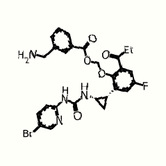 CCC(=O)c1cc(F)cc([C@@H]2C[C@@H]2NC(=O)Nc2ccc(Br)cn2)c1OCOC(=O)c1cccc(CN)c1